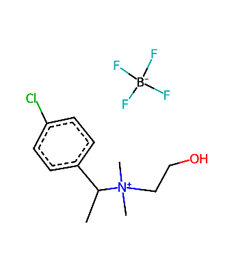 CC(c1ccc(Cl)cc1)[N+](C)(C)CCO.F[B-](F)(F)F